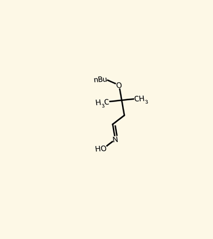 CCCCOC(C)(C)CC=NO